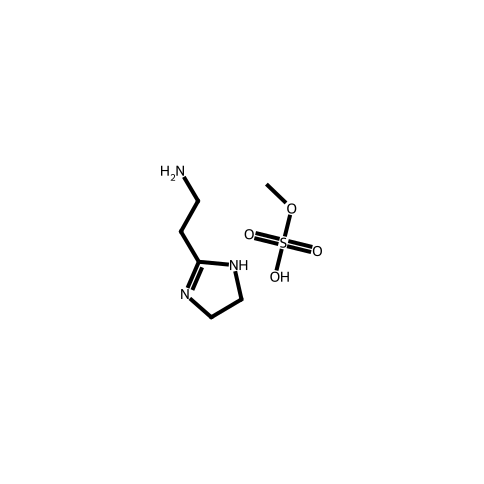 COS(=O)(=O)O.NCCC1=NCCN1